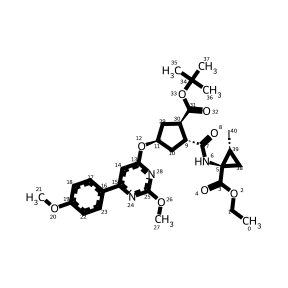 CCOC(=O)[C@@]1(NC(=O)[C@@H]2C[C@@H](Oc3cc(-c4ccc(OC)cc4)nc(OC)n3)C[C@H]2C(=O)OC(C)(C)C)C[C@H]1I